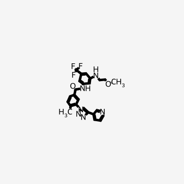 COCCNc1cc(NC(=O)c2ccc(C)c(-n3cc(-c4cccnc4)nn3)c2)cc(C(F)(F)F)c1